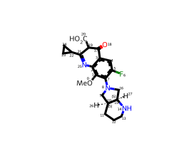 COc1c2c(cc(F)c1N1C[C@@H]3CCCN[C@@H]3C1)C(=O)C(C(=O)O)C(C1CC1)=N2